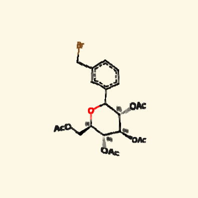 CC(=O)OC[C@H]1OC(c2cccc(CBr)c2)[C@H](OC(C)=O)[C@@H](OC(C)=O)[C@@H]1OC(C)=O